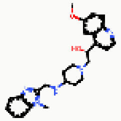 COc1ccc2nccc([C@@H](O)CN3CCC(NCc4nc5ccccc5n4C)CC3)c2c1